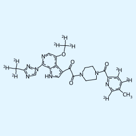 [2H]c1nc(C(=O)N2CCN(C(=O)C(=O)c3c[nH]c4c(-n5cnc(C([2H])([2H])[2H])n5)ncc(OC([2H])([2H])[2H])c34)CC2)c([2H])c([2H])c1C